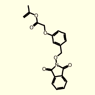 C=C(C)OC(=O)COc1cccc(CON2C(=O)c3ccccc3C2=O)c1